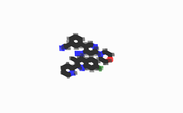 Cc1c(-c2ccccn2)nc2cc(F)ccc2c1Nc1cc(N2CCOCC2)ncc1-c1cccc(C#N)c1